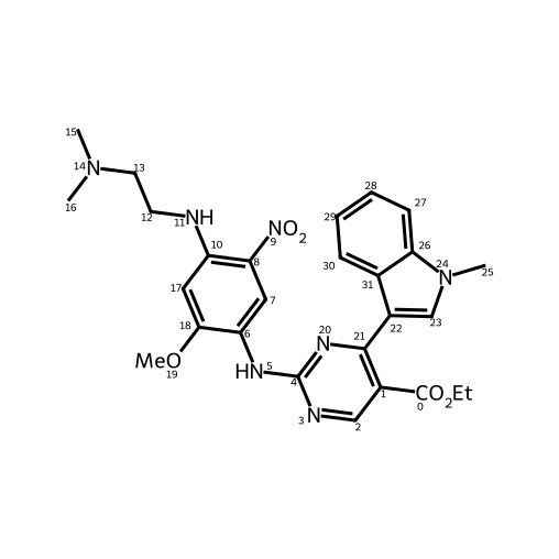 CCOC(=O)c1cnc(Nc2cc([N+](=O)[O-])c(NCCN(C)C)cc2OC)nc1-c1cn(C)c2ccccc12